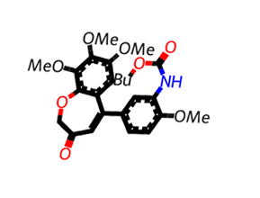 COc1ccc(C2=CC(=O)COc3c2cc(OC)c(OC)c3OC)cc1NC(=O)OC(C)(C)C